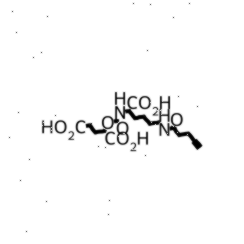 C#CCCC(=O)NCCCC[C@H](NC(=O)O[C@@H](CCC(=O)O)C(=O)O)C(=O)O